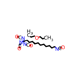 CCCOCCC.O=C=NCCCCCCCCCCCC(N=C=O)(N=C=O)N=C=O